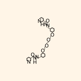 O=C(NN=Cc1cccc(OCCOCCOCCOc2cccc(C=NNC(=O)c3cccnc3)c2)c1)c1cccnc1